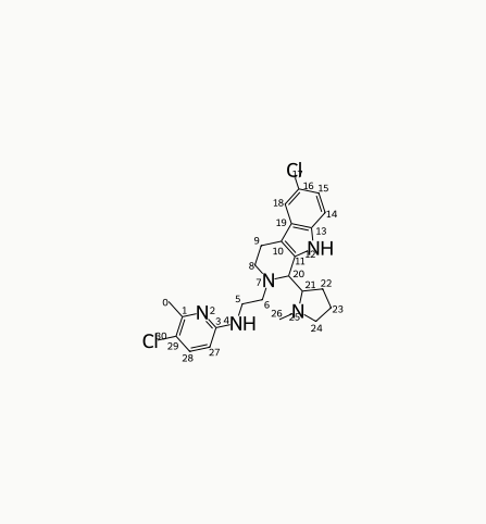 Cc1nc(NCCN2CCc3c([nH]c4ccc(Cl)cc34)C2C2CCCN2C)ccc1Cl